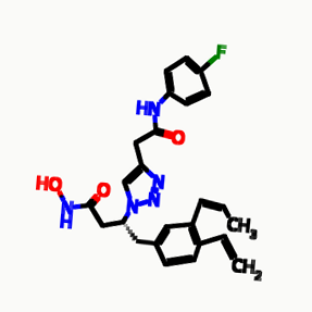 C=Cc1ccc(C[C@H](CC(=O)NO)n2cc(CC(=O)Nc3ccc(F)cc3)nn2)cc1/C=C\C